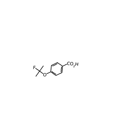 CC(C)(F)Oc1ccc(C(=O)O)cc1